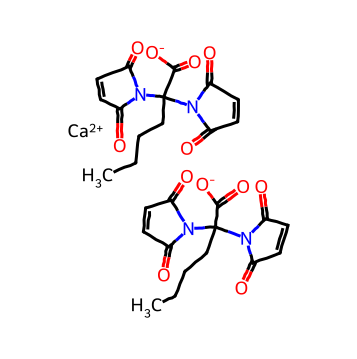 CCCCC(C(=O)[O-])(N1C(=O)C=CC1=O)N1C(=O)C=CC1=O.CCCCC(C(=O)[O-])(N1C(=O)C=CC1=O)N1C(=O)C=CC1=O.[Ca+2]